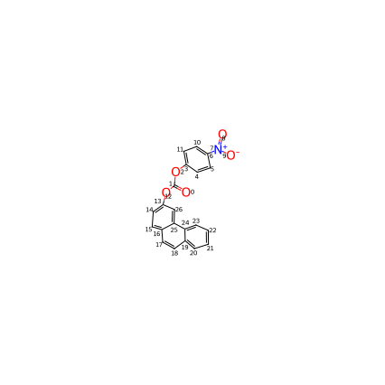 O=C(Oc1ccc([N+](=O)[O-])cc1)Oc1ccc2ccc3ccccc3c2c1